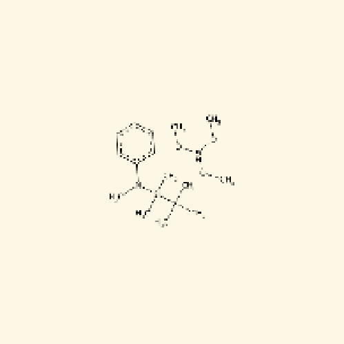 CN(c1ccccc1)[Si](C)(C)C(C)(C)C.CO[SiH](OC)OC